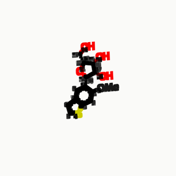 COc1cc2sccc2cc1[C@@H]1O[C@H](CO)[C@H](O)[C@@H]1O